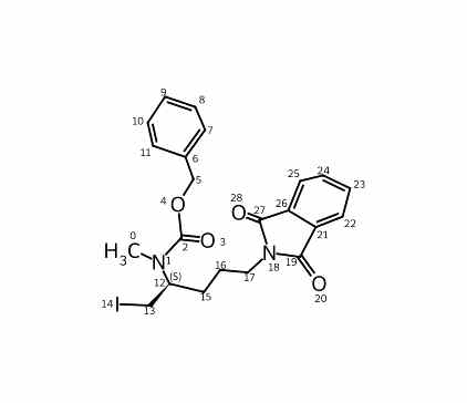 CN(C(=O)OCc1ccccc1)[C@H](CI)CCCN1C(=O)c2ccccc2C1=O